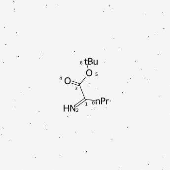 CC[CH]C(=N)C(=O)OC(C)(C)C